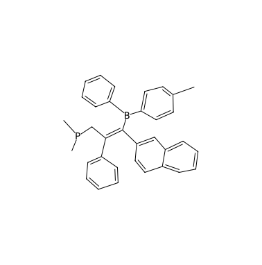 Cc1ccc(B(/C(=C(\CP(C)C)c2ccccc2)c2ccc3ccccc3c2)c2ccccc2)cc1